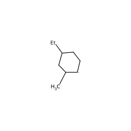 CCC1CC[CH]C(C)C1